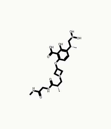 CNC(=O)CNC(=O)[C@@H](C)CN1CC(Oc2ccc([C@@H](C)CB(O)O)c(O)c2C(=O)O)C1